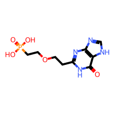 O=c1[nH]c(CCOCCP(=O)(O)O)nc2nc[nH]c12